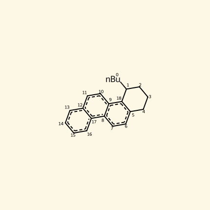 CCCCC1CCCc2ccc3c(ccc4ccccc43)c21